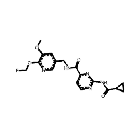 COc1cc(CNC(=O)c2ccnc(NC(=O)C3CC3)n2)cnc1OCF